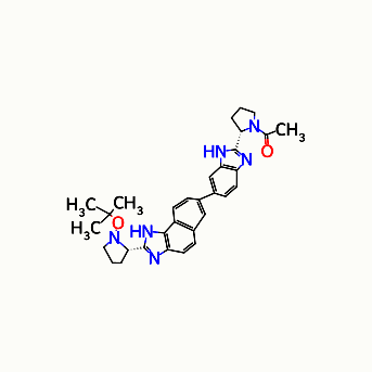 CC(=O)N1CCC[C@H]1c1nc2ccc(-c3ccc4c(ccc5nc([C@@H]6CCCN6OC(C)(C)C)[nH]c54)c3)cc2[nH]1